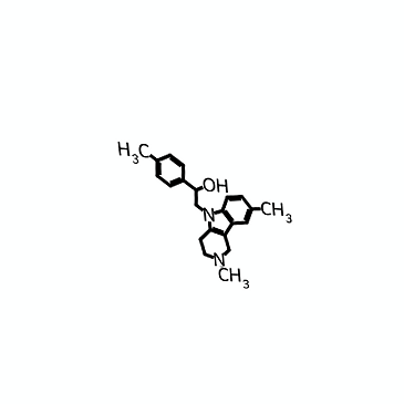 Cc1ccc(C(O)Cn2c3c(c4cc(C)ccc42)CN(C)CC3)cc1